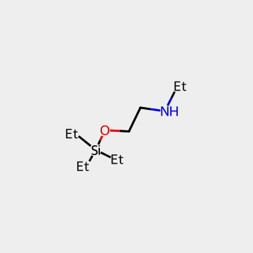 CCNCCO[Si](CC)(CC)CC